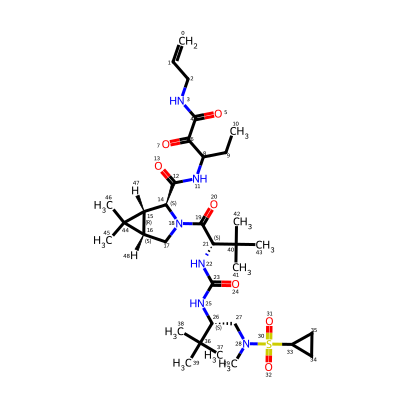 C=CCNC(=O)C(=O)C(CC)NC(=O)[C@@H]1[C@@H]2[C@H](CN1C(=O)[C@@H](NC(=O)N[C@H](CN(C)S(=O)(=O)C1CC1)C(C)(C)C)C(C)(C)C)C2(C)C